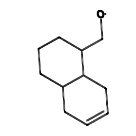 [O]CC1CCCC2CC=CCC12